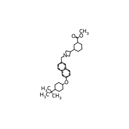 COC(=O)C1CCCC(C2CN(Cc3ccc4cc(OC5CCC(C(C)(C)C)CC5)ccc4c3)C2)C1